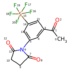 CC(=O)c1cc(N2C(=O)CCC2=O)cc(S(F)(F)(F)(F)F)c1